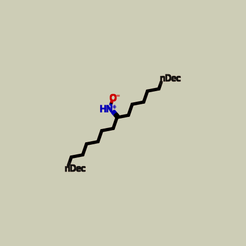 CCCCCCCCCCCCCCCCC(CCCCCCCCCCCCCCC)=[NH+][O-]